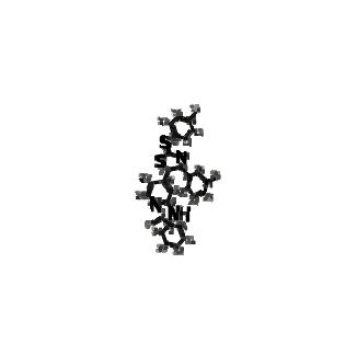 C=C[C@@]1(Nc2cc(-c3sc(Sc4ccc(C)cc4)nc3-c3cccc(C)c3)ccn2)C=CC=CC1